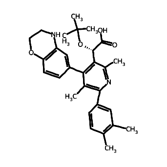 Cc1ccc(-c2nc(C)c([C@H](OC(C)(C)C)C(=O)O)c(-c3ccc4c(c3)NCCO4)c2C)cc1C